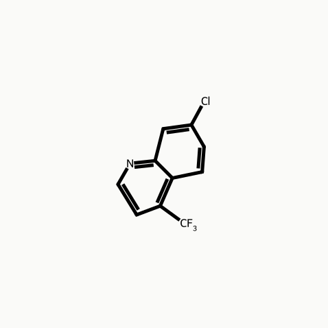 FC(F)(F)c1ccnc2cc(Cl)ccc12